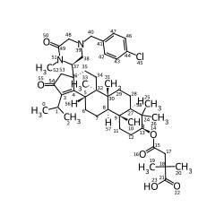 CC(C)C1=C2[C@H]3CC[C@@H]4[C@@]5(C)CC[C@H](OC(=O)CC(C)(C)C(=O)O)C(C)(C)[C@@H]5CC[C@@]4(C)[C@]3(C)CC[C@@]2([C@@H]2CN(Cc3ccc(Cl)cc3)CC(=O)N2C)CC1=O